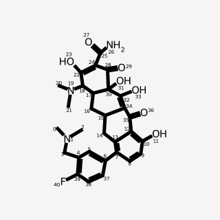 CN(C)Cc1cc(-c2ccc(O)c3c2CC2CC4C(N(C)C)C(O)=C(C(N)=O)C(=O)C4(O)C(O)=C2C3=O)ccc1F